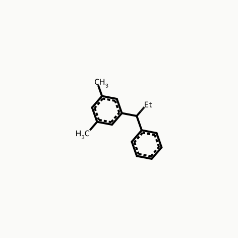 CCC(c1ccccc1)c1cc(C)cc(C)c1